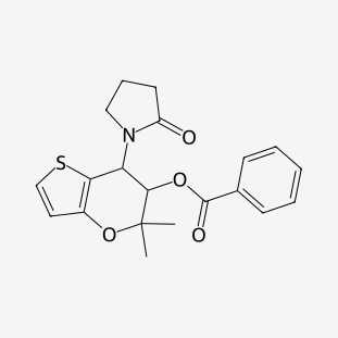 CC1(C)Oc2ccsc2C(N2CCCC2=O)C1OC(=O)c1ccccc1